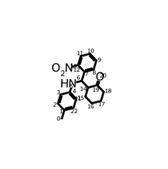 Cc1ccc(NC(c2ccccc2[N+](=O)[O-])C2CCCCC2=O)cc1